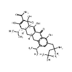 CN(C)c1cc(CC(C)(N)CC(C)(C)O)c(O)c2c1C[C@H]1C[C@H]3[C@H](N(C)C)C(O)=C(C(N)=O)C4(O)O[C@]34C(O)=C1C2=O